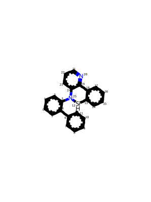 c1ccc2c(c1)-c1ccccc1[SiH]1c3ccccc3-c3ncccc3N21